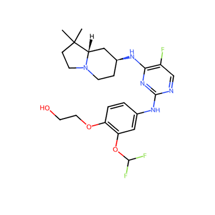 CC1(C)CCN2CC[C@H](Nc3nc(Nc4ccc(OCCO)c(OC(F)F)c4)ncc3F)C[C@H]21